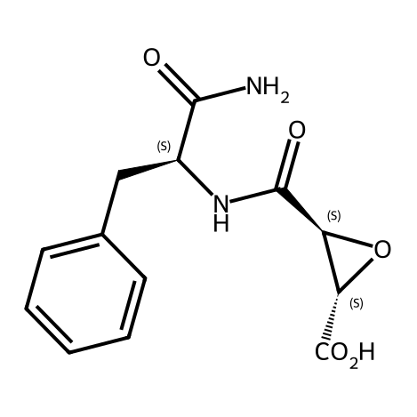 NC(=O)[C@H](Cc1ccccc1)NC(=O)[C@H]1O[C@@H]1C(=O)O